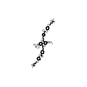 Cc1c(N)ccc(-c2ccc(N)cc2C(=O)/C=C/c2ccc(C(=O)Oc3ccc(OCCCC(F)(F)F)cc3)cc2)c1C(=O)/C=C/c1ccc(C(=O)Oc2ccc(OCCCC(F)(F)F)cc2)cc1